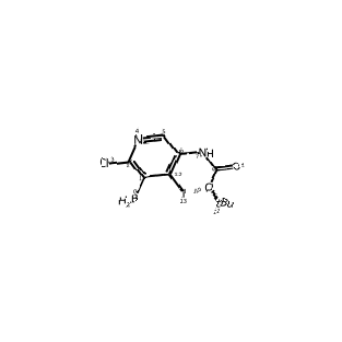 Bc1c(Cl)ncc(NC(=O)OC(C)(C)C)c1I